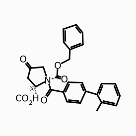 Cc1ccccc1-c1ccc(C(=O)[N+]2(C(=O)OCc3ccccc3)CC(=O)C[C@H]2C(=O)O)cc1